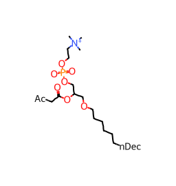 CCCCCCCCCCCCCCCCOCC(COP(=O)([O-])OCC[N+](C)(C)C)OC(=O)CC(C)=O